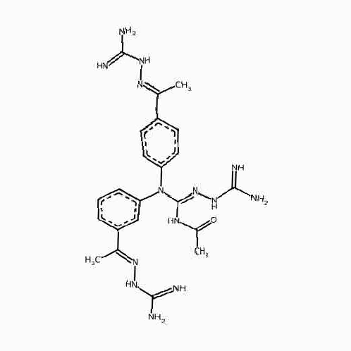 CC(=O)NC(=NNC(=N)N)N(c1ccc(C(C)=NNC(=N)N)cc1)c1cccc(C(C)=NNC(=N)N)c1